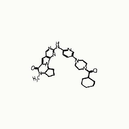 CN1C(=O)c2cc3cnc(Nc4ccc(N5CCN(C(=O)C6CCCCC6)CC5)cn4)nc3n2C2CCCC21